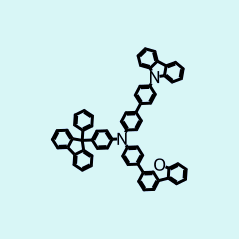 c1ccc(C2(c3ccc(N(c4ccc(-c5ccc(-n6c7ccccc7c7ccccc76)cc5)cc4)c4ccc(-c5cccc6c5oc5ccccc56)cc4)cc3)c3ccccc3-c3ccccc32)cc1